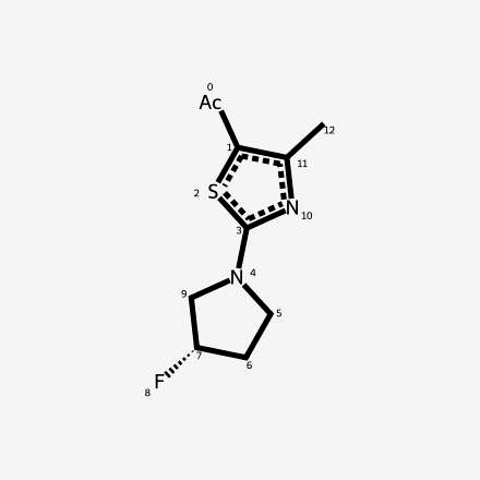 CC(=O)c1sc(N2CC[C@H](F)C2)nc1C